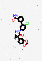 NC(=O)c1cccc(-c2cc(NC(=O)C3(c4ccc5c(c4)OCO5)CC3)ccc2Cl)c1